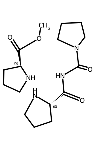 COC(=O)[C@@H]1CCCN1.O=C(NC(=O)N1CCCC1)[C@@H]1CCCN1